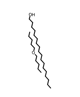 CCCCCCCCCCCCCCCCCCO.CCCCCOCCCCC